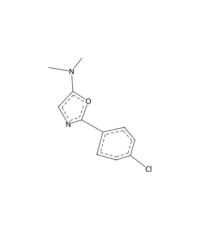 CN(C)c1cnc(-c2ccc(Cl)cc2)o1